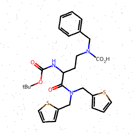 CC(C)(C)OC(=O)NC(CCN(Cc1ccccc1)C(=O)O)C(=O)N(Cc1cccs1)Cc1cccs1